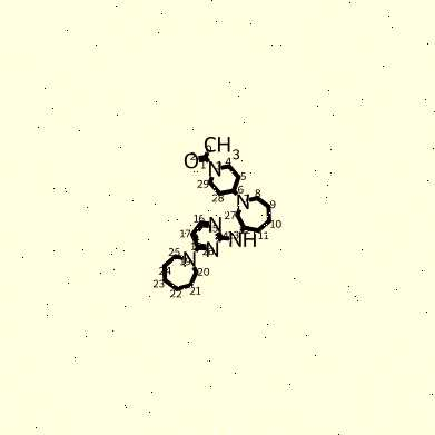 CC(=O)N1CCC(N2CCCCC(Nc3nccc(N4CCCCCC4)n3)C2)CC1